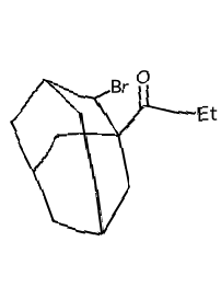 CCC(=O)C12CC3CC(CC(C3)C1Br)C2